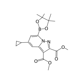 COC(=O)c1nn2c(B3OC(C)(C)C(C)(C)O3)cc(C3CC3)cc2c1C(=O)OC